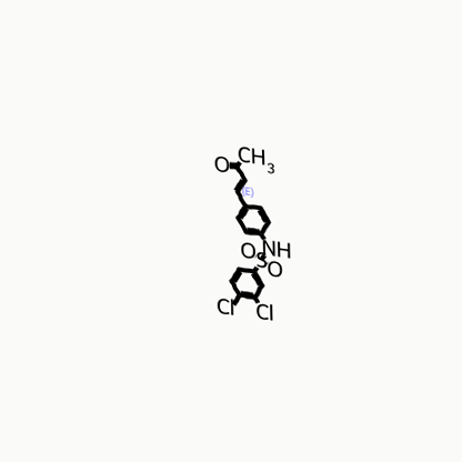 CC(=O)/C=C/c1ccc(NS(=O)(=O)c2ccc(Cl)c(Cl)c2)cc1